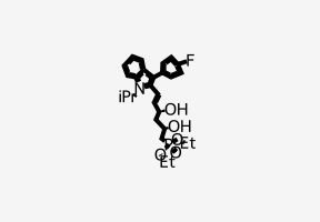 CCOP(=O)(C[C@H](O)C[C@H](O)/C=C/c1c(-c2ccc(F)cc2)c2ccccc2n1C(C)C)OCC